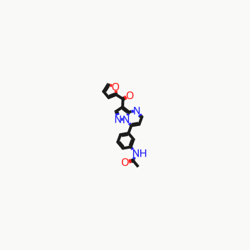 CC(=O)Nc1cccc(-c2ccnc3c(C(=O)c4ccco4)cnn23)c1